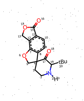 [2H]N1CCC2(COc3c2ccc2c3COC2=O)C(=O)C1C(C)(C)C